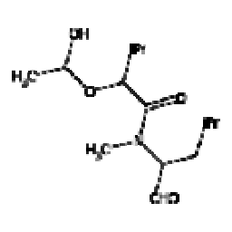 CC(C)CC(C=O)N(C)C(=O)C(OC(C)O)C(C)C